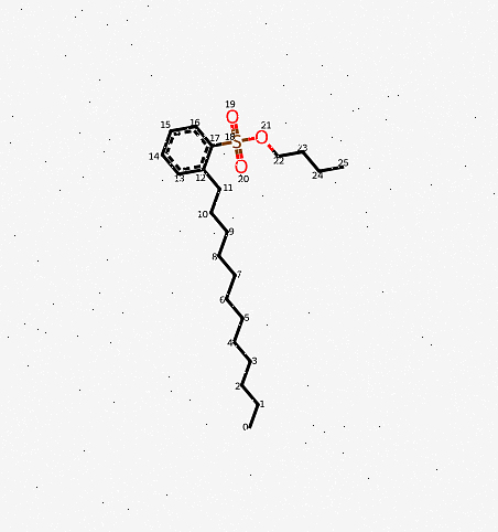 CCCCCCCCCCCCc1ccccc1S(=O)(=O)OCCCC